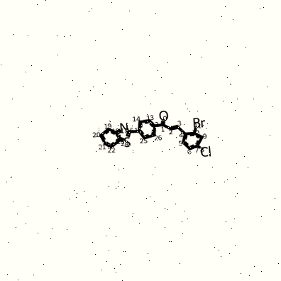 O=C(C=Cc1ccc(Cl)cc1Br)c1ccc(-c2nc3ccccc3s2)cc1